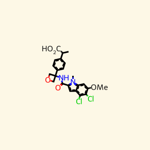 COc1cc2c(cc(C(=O)NC3(c4ccc(C(C)C(=O)O)cc4)COC3)n2C)c(Cl)c1Cl